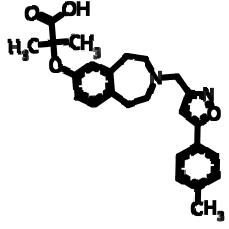 Cc1ccc(-c2cc(CN3CCc4ccc(OC(C)(C)C(=O)O)cc4CC3)no2)cc1